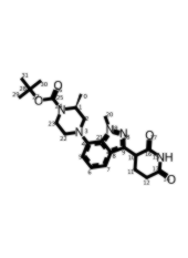 C[C@H]1CN(c2cccc3c(C4CCC(=O)NC4=O)nn(C)c23)CCN1C(=O)OC(C)(C)C